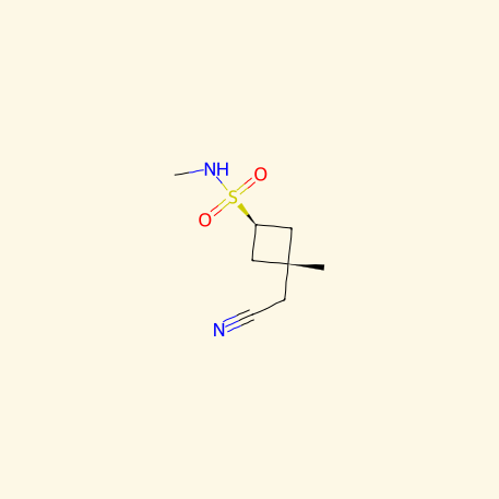 CNS(=O)(=O)[C@H]1C[C@](C)(CC#N)C1